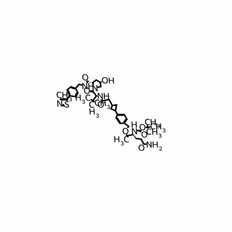 Cc1ncsc1-c1ccc(CNC(=O)[C@@H]2C[C@@H](O)CN2C(=O)[C@@H](NC(=O)CC2CC(c3ccc(CO[C@H](C)[C@H](CCC(N)=O)NC(=O)OC(C)(C)C)cc3)C2)C(C)(C)C)cc1